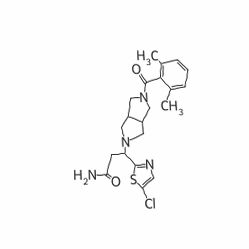 Cc1cccc(C)c1C(=O)N1CC2CN(C(CC(N)=O)c3ncc(Cl)s3)CC2C1